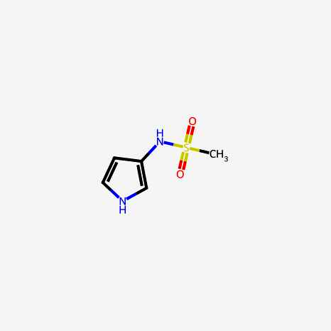 CS(=O)(=O)Nc1cc[nH]c1